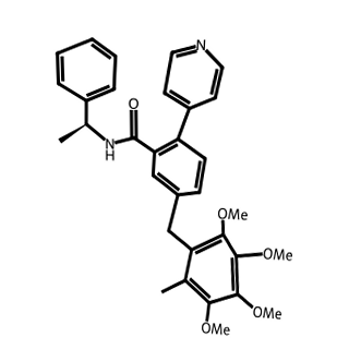 COc1c(C)c(Cc2ccc(-c3ccncc3)c(C(=O)N[C@@H](C)c3ccccc3)c2)c(OC)c(OC)c1OC